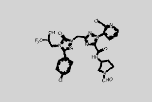 O=CN1CCC(NC(=O)c2nc(Cn3nc(-c4ccc(Cl)cc4)n(C[C@H](O)C(F)(F)F)c3=O)nn2-c2cccnc2Cl)C1